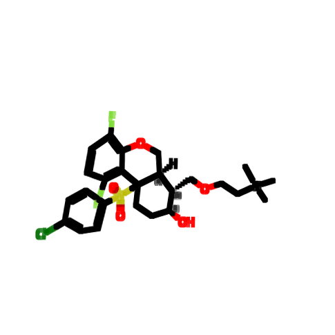 C[Si](C)(C)CCOC[C@@H]1[C@@H](O)CCC2(S(=O)(=O)c3ccc(Cl)cc3)c3c(F)ccc(F)c3OC[C@@H]12